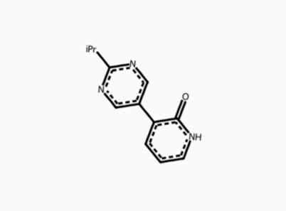 CC(C)c1ncc(-c2ccc[nH]c2=O)cn1